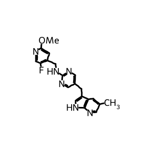 COc1cc(CNc2ncc(Cc3c[nH]c4ncc(C)cc34)cn2)c(F)cn1